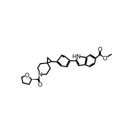 COC(=O)c1ccc2cc(-c3ccc(C4CC45CCN(C(=O)[C@H]4CCCO4)CC5)cc3)[nH]c2c1